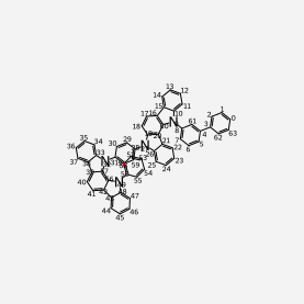 c1ccc(-c2cccc(-n3c4ccccc4c4ccc5c(c6ccccc6n5-c5ccc(-n6c7ccccc7c7ccc8c9ccccc9n(-c9ccccc9)c8c76)cc5)c43)c2)cc1